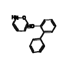 C1=CNOC=C1.Oc1ccccc1-c1ccccc1